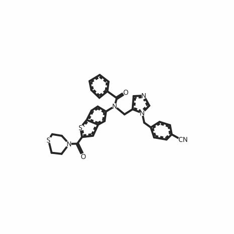 N#Cc1ccc(Cn2cncc2CN(C(=O)c2ccccc2)c2ccc3sc(C(=O)N4CCSCC4)cc3c2)cc1